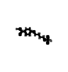 COC(=O)c1ccc(OCCCCOS(C)(=O)=O)cc1